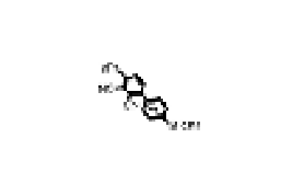 CCCCCC12CCC(c3ccc(CCC)c(C#N)c3C#N)(CC1)CC2